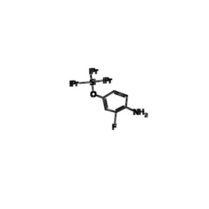 CC(C)[Si](Oc1ccc(N)c(F)c1)(C(C)C)C(C)C